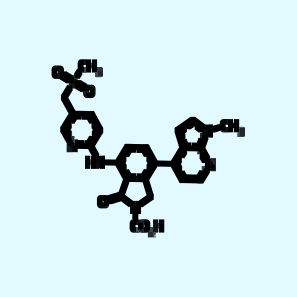 Cn1ccc2c(-c3ccc(Nc4ccc(CS(C)(=O)=O)cn4)c4c3CN(C(=O)O)C4=O)ccnc21